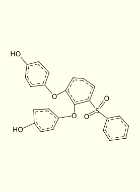 O=S(=O)(c1ccccc1)c1cccc(Oc2ccc(O)cc2)c1Oc1ccc(O)cc1